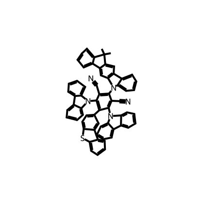 CC1(C)c2ccccc2-c2cc3c(cc21)c1ccccc1n3-c1c(C#N)c(-n2c3ccccc3c3ccccc32)c(-c2ccc3sc4ccccc4c3c2)c(-n2c3ccccc3c3ccccc32)c1C#N